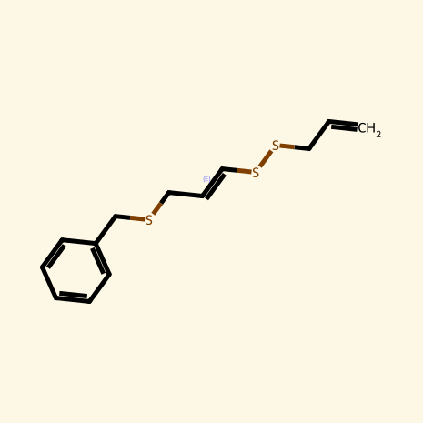 C=CCSS/C=C/CSCc1ccccc1